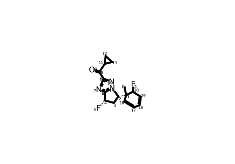 CC1([C@@H]2C[C@H](F)c3nc(C(=O)C4CC4)nn32)C=CC=CC1F